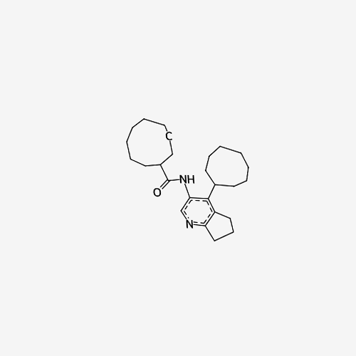 O=C(Nc1cnc2c(c1C1CCCCCCC1)CCC2)C1CCCCCCCC1